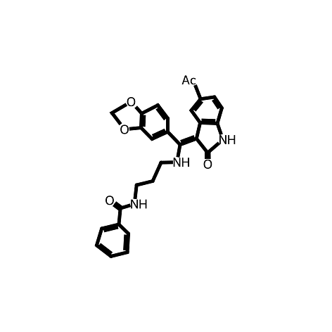 CC(=O)c1ccc2c(c1)/C(=C(/NCCCNC(=O)c1ccccc1)c1ccc3c(c1)OCO3)C(=O)N2